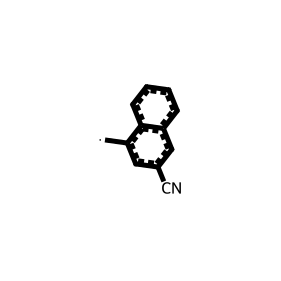 [CH2]c1cc(C#N)cc2ccccc12